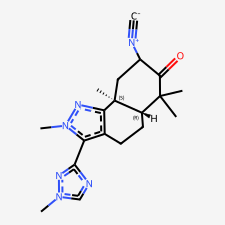 [C-]#[N+]C1C[C@]2(C)c3nn(C)c(-c4ncn(C)n4)c3CC[C@H]2C(C)(C)C1=O